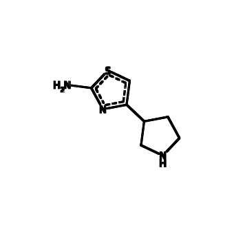 Nc1nc(C2CCNC2)cs1